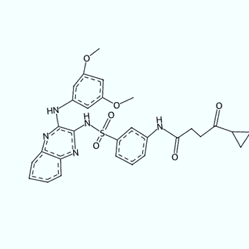 COc1cc(Nc2nc3ccccc3nc2NS(=O)(=O)c2cccc(NC(=O)CCC(=O)C3CC3)c2)cc(OC)c1